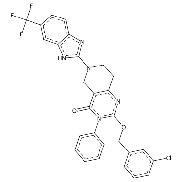 O=c1c2c(nc(OCc3cccc(Cl)c3)n1-c1ccccc1)CCN(c1nc3ccc(C(F)(F)F)cc3[nH]1)C2